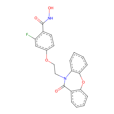 O=C(NO)c1ccc(OCCN2C(=O)c3ccccc3Oc3ccccc32)cc1F